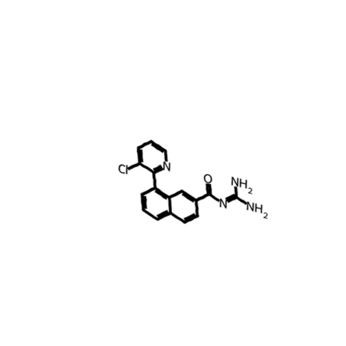 NC(N)=NC(=O)c1ccc2cccc(-c3ncccc3Cl)c2c1